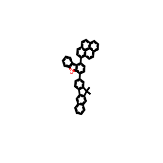 CC1(C)c2cc(-c3ccc(-c4ccc5ccc6cccc7ccc4c5c67)c4c3oc3ccccc34)ccc2-c2cc3ccccc3cc21